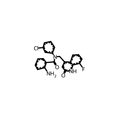 Nc1ccccc1C(=O)N(Cc1cc(=O)[nH]c2c(F)cccc12)c1cccc(Cl)c1